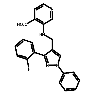 O=C(O)c1ccncc1NCc1cn(-c2ccccc2)nc1-c1ccccc1F